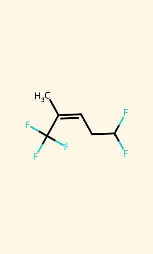 C/C(=C/C[C](F)F)C(F)(F)F